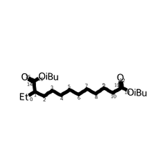 CCC(CCCCCCCCCC(=O)OCC(C)C)C(=O)OCC(C)C